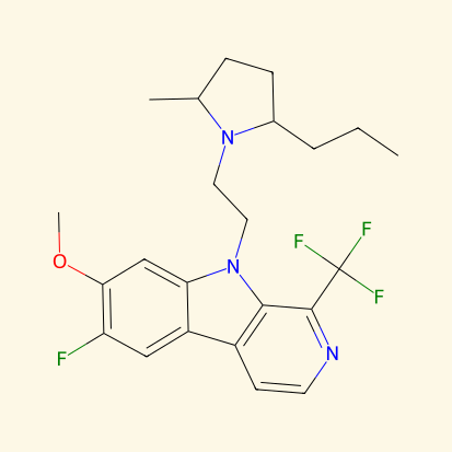 CCCC1CCC(C)N1CCn1c2cc(OC)c(F)cc2c2ccnc(C(F)(F)F)c21